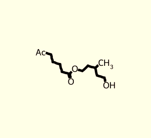 CC(=O)CCCCC(=O)OCCC(C)CCO